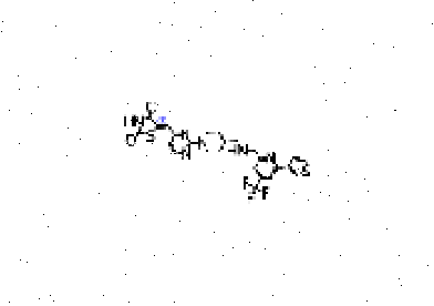 O=C1NC(=O)/C(=C/c2ccnc(N3CCC(CNCc4cc(C(F)(F)F)cc(-c5ccsc5)n4)CC3)n2)S1